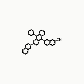 N#Cc1ccc2ccc(-c3c4ccccc4c(-c4ccccc4)c4cc(-c5ccc6ccccc6c5)ccc34)cc2c1